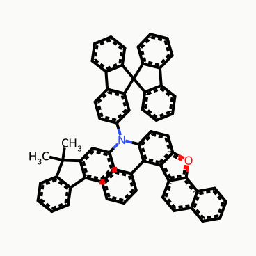 CC1(C)c2ccccc2-c2ccc(N(c3ccc4c(c3)C3(c5ccccc5-c5ccccc53)c3ccccc3-4)c3ccc4oc5c6ccccc6ccc5c4c3-c3ccccc3)cc21